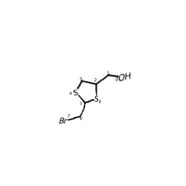 OCC1CSC(CBr)S1